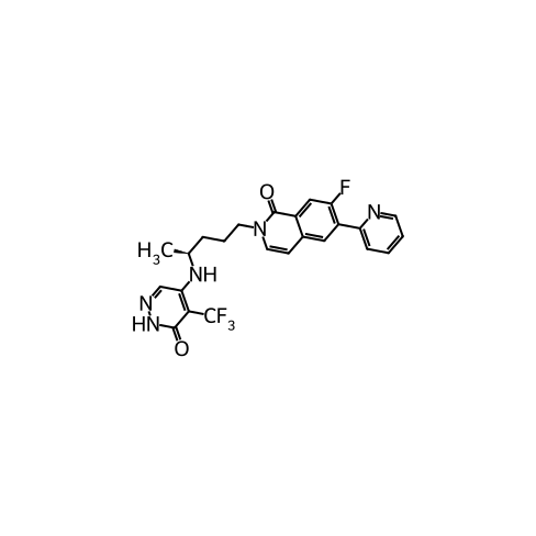 C[C@@H](CCCn1ccc2cc(-c3ccccn3)c(F)cc2c1=O)Nc1cn[nH]c(=O)c1C(F)(F)F